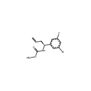 C=CC[C@H](NC(=O)OCCCC)c1cc(F)cc(Br)c1